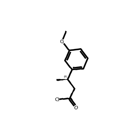 COc1cccc([C@H](C)CC(=O)Cl)c1